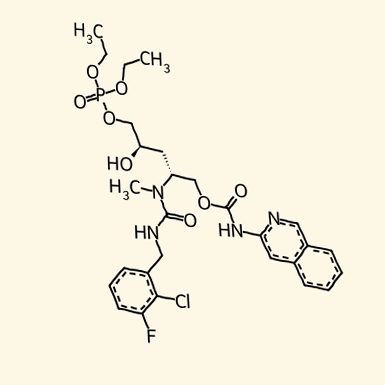 CCOP(=O)(OCC)OC[C@H](O)C[C@H](COC(=O)Nc1cc2ccccc2cn1)N(C)C(=O)NCc1cccc(F)c1Cl